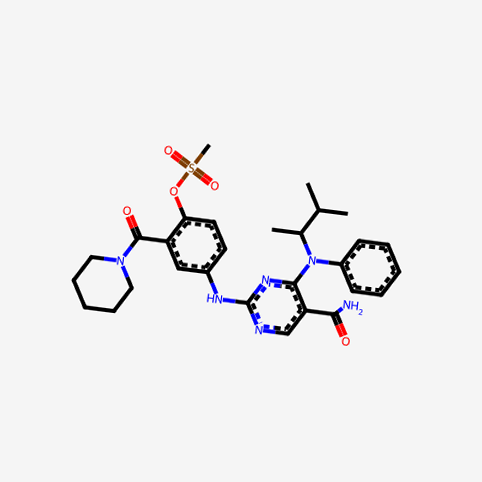 CC(C)C(C)N(c1ccccc1)c1nc(Nc2ccc(OS(C)(=O)=O)c(C(=O)N3CCCCC3)c2)ncc1C(N)=O